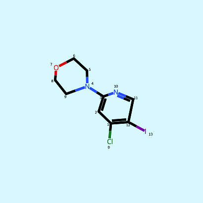 Clc1cc(N2CCOCC2)ncc1I